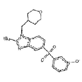 CC(C)(C)c1nc2cc(S(=O)(=O)c3ccc[n+]([O-])c3)ccc2n1CC1CCOCC1